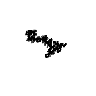 O=c1[nH]nc2c(NCCCc3cccc(OCCN4CCNCC4)c3)cc(Cl)cn12